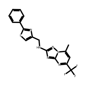 Cc1cc(C(F)(F)F)nc2nc(NCc3csc(-c4ccccc4)n3)nn12